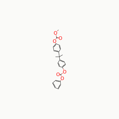 COC(=O)Oc1ccc(C(C)(C)c2ccc(OC(=O)Oc3ccccc3)cc2)cc1